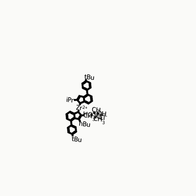 CCCCC1=C(C)[CH]([Zr+2][CH]2C(C(C)C)=Cc3c(-c4ccc(C(C)(C)C)cc4)cccc32)c2cccc(-c3ccc(C(C)(C)C)cc3)c21.C[Si](C)(O)O.[Cl-].[Cl-]